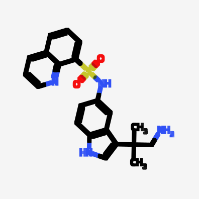 CC(C)(CN)c1c[nH]c2ccc(NS(=O)(=O)c3cccc4cccnc34)cc12